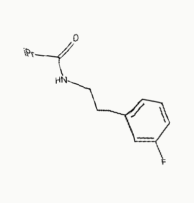 CC(C)C(=O)NCCc1cccc(F)c1